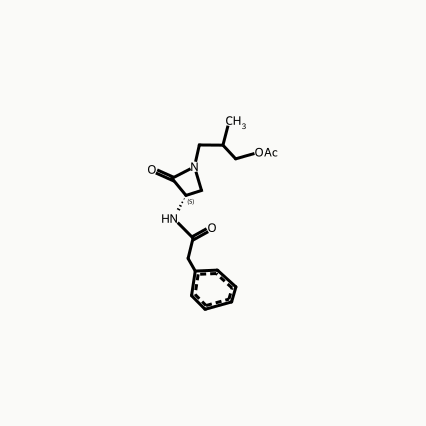 CC(=O)OCC(C)CN1C[C@H](NC(=O)Cc2ccccc2)C1=O